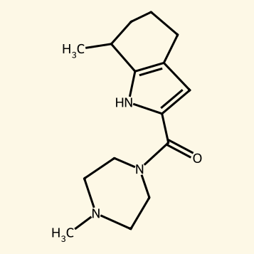 CC1CCCc2cc(C(=O)N3CCN(C)CC3)[nH]c21